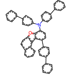 c1ccc(-c2ccc(-c3ccc(N(c4ccc(-c5ccccc5)cc4)c4ccc(-c5ccccc5)cc4)c4oc5ccc6ccccc6c5c34)cc2)cc1